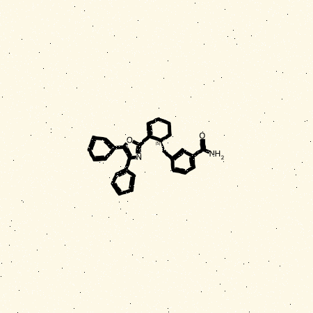 NC(=O)c1cccc(C[C@@H]2CCCC=C2c2nc(-c3ccccc3)c(-c3ccccc3)o2)c1